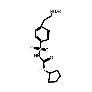 CC(=O)NCCc1ccc(S(=O)(=O)NC(=O)NC2CCCC2)cc1